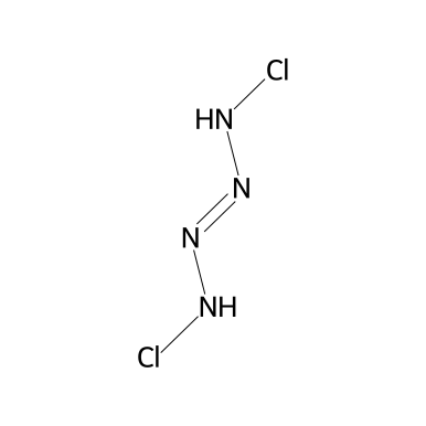 ClNN=NNCl